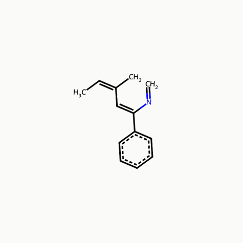 C=N/C(=C\C(C)=C/C)c1ccccc1